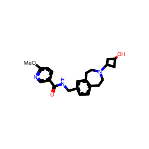 COc1ccc(C(=O)NCc2ccc3c(c2)CCN(C2CC(O)C2)CC3)cn1